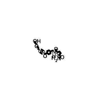 NC(=O)c1ccc(C(=O)NCc2ccc(C(=O)N3CCN(CCOCCO)CC3)cc2)s1